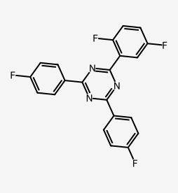 Fc1ccc(-c2nc(-c3ccc(F)cc3)nc(-c3cc(F)ccc3F)n2)cc1